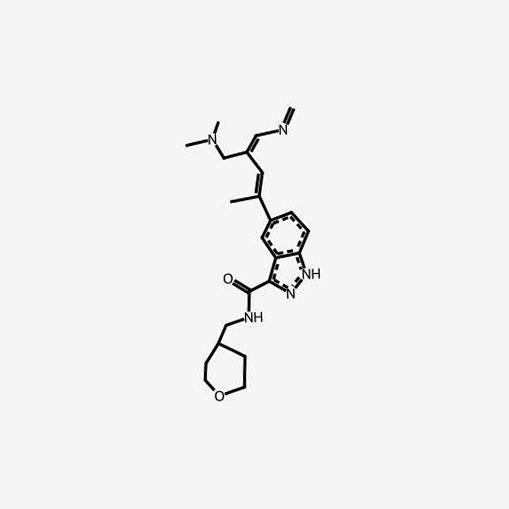 C=N/C=C(\C=C(/C)c1ccc2[nH]nc(C(=O)NCC3CCOCC3)c2c1)CN(C)C